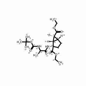 CCOC(=O)[C@@]1(F)[C@@H]2CC[C@@](NC(=O)C(C)NC(=O)OC(C)(C)C)(C(=O)OCC)[C@@H]21